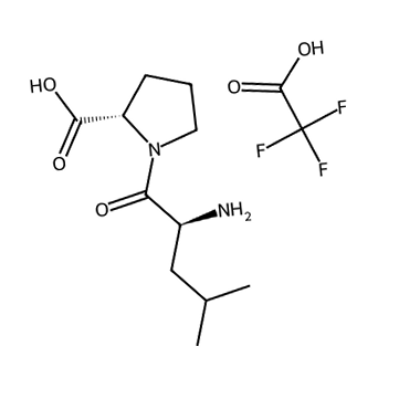 CC(C)C[C@H](N)C(=O)N1CCC[C@H]1C(=O)O.O=C(O)C(F)(F)F